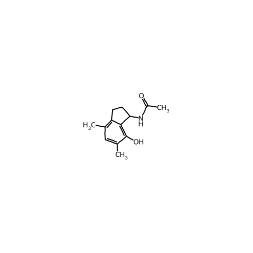 CC(=O)NC1CCc2c(C)cc(C)c(O)c21